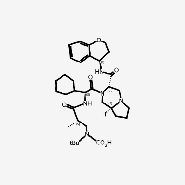 C[C@@H](CN(C(=O)O)C(C)(C)C)C(=O)N[C@H](C(=O)N1C[C@@H]2CCCN2C[C@H]1C(=O)N[C@@H]1CCOc2ccccc21)C1CCCCC1